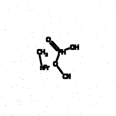 CCCC.N#CO[PH](=O)O